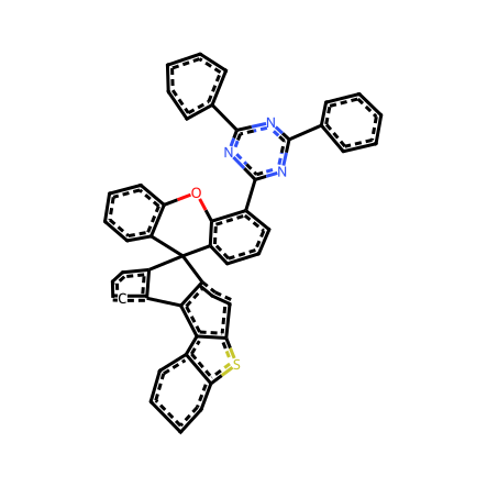 c1ccc(-c2nc(-c3ccccc3)nc(-c3cccc4c3Oc3ccccc3C43c4ccccc4-c4c3ccc3sc5ccccc5c43)n2)cc1